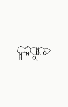 COC(OC)c1nc2c(cc1CNCC1CCCO1)CCCN2